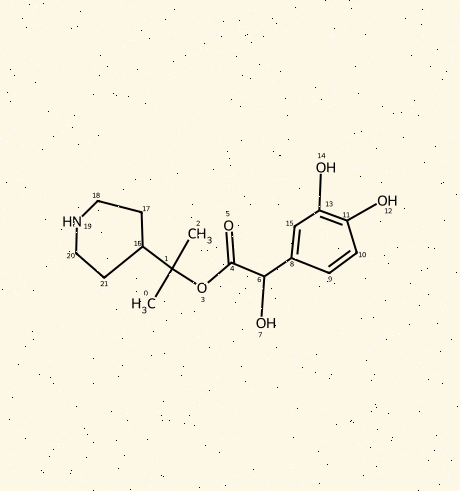 CC(C)(OC(=O)C(O)c1ccc(O)c(O)c1)C1CCNCC1